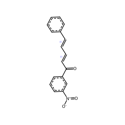 O=C(/C=C/C=C/c1ccccc1)c1cccc([N+](=O)[O-])c1